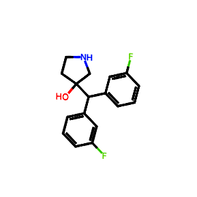 OC1(C(c2cccc(F)c2)c2cccc(F)c2)CCNC1